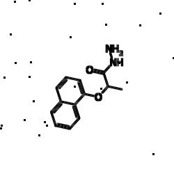 CC(Oc1cccc2ccccc12)C(=O)NN